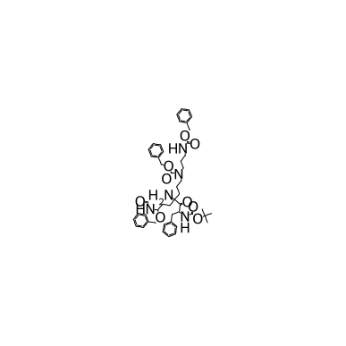 CC(C)(C)OC(=O)NC(Cc1ccccc1)C(=O)C(N)(CCCN(CCCNC(=O)OCc1ccccc1)C(=O)OCc1ccccc1)CCC(NC=O)OCc1ccccc1